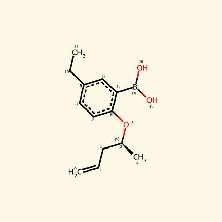 C=CC[C@H](C)Oc1ccc(CC)cc1B(O)O